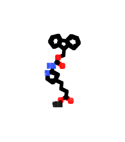 CC(C)(C)OC(=O)CCCc1ccnc(NC(=O)OCC2c3ccccc3-c3ccccc32)c1